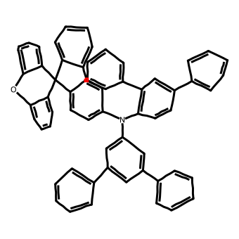 c1ccc(-c2cc(-c3ccccc3)cc(N(c3ccc4c(c3)-c3ccccc3C43c4ccccc4Oc4ccccc43)c3ccc(-c4ccccc4)cc3-c3ccccc3)c2)cc1